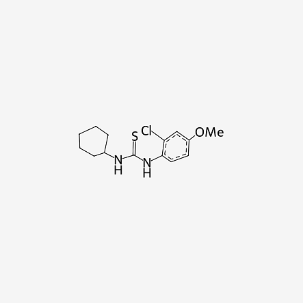 COc1ccc(NC(=S)NC2CCCCC2)c(Cl)c1